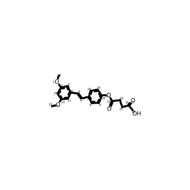 COc1cc(C=Cc2ccc(OC(=O)CCC(=O)O)cc2)cc(OC)c1